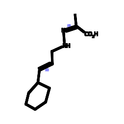 C/C(=N/NC/C=C/C1CCCCC1)C(=O)O